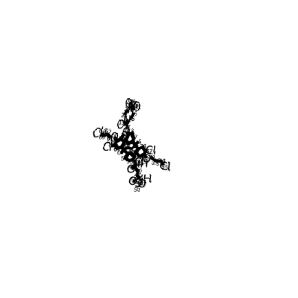 CC(CCC(C)(c1ccc(OCC(=O)N2CCN(S(C)(=O)=O)CC2)cc1)c1cc(Cl)c(OCCCCl)c(Cl)c1)(c1ccc(NC(=O)CCNS(C)(=O)=O)cc1)c1cc(Cl)c(OCCCCl)c(Cl)c1